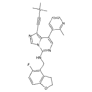 Cc1ncccc1-c1cnc(NCc2c(F)ccc3c2CCO3)n2cnc(C#CS(C)(C)C)c12